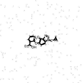 CCC(O)c1cccnc1Oc1ccc2c(nnn2CC2CC2)c1C(F)(F)F